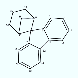 [c]1ccc2c(c1)C1(c3c[c]ccc3-2)C2CCCC1C2